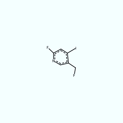 FCc1cnc(F)cc1I